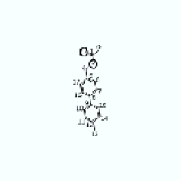 CC(=O)OCc1ccc(-c2ccc(C)cc2)cc1